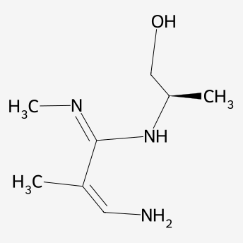 C/N=C(N[C@H](C)CO)\C(C)=C/N